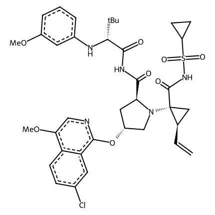 C=C[C@@H]1C[C@@]1(C(=O)NS(=O)(=O)C1CC1)N1C[C@H](Oc2ncc(OC)c3ccc(Cl)cc23)C[C@H]1C(=O)NC(=O)[C@H](Nc1cccc(OC)c1)C(C)(C)C